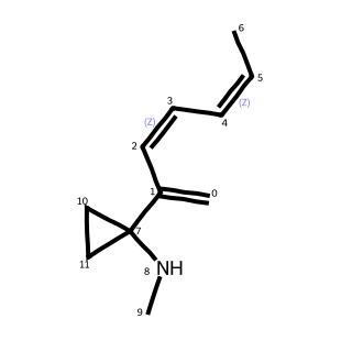 C=C(/C=C\C=C/C)C1(NC)CC1